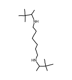 CC(NCCCCCCNC(C)C(C)(C)C)C(C)(C)C